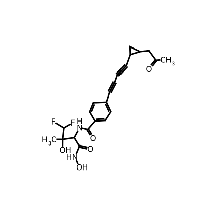 CC(=O)CC1CC1C#CC#Cc1ccc(C(=O)NC(C(=O)NO)C(C)(O)C(F)F)cc1